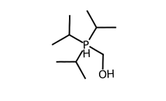 CC(C)[PH](CO)(C(C)C)C(C)C